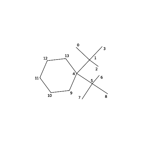 CC(C)(C)C1(C(C)(C)C)CCCCC1